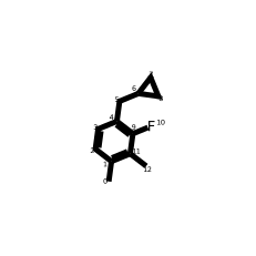 Cc1ccc(CC2CC2)c(F)c1C